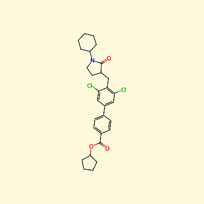 O=C(OC1CCCC1)c1ccc(-c2cc(Cl)c(CC3CCN(C4CCCCC4)C3=O)c(Cl)c2)cc1